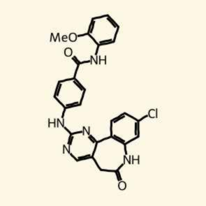 COc1ccccc1NC(=O)c1ccc(Nc2ncc3c(n2)-c2ccc(Cl)cc2NC(=O)C3)cc1